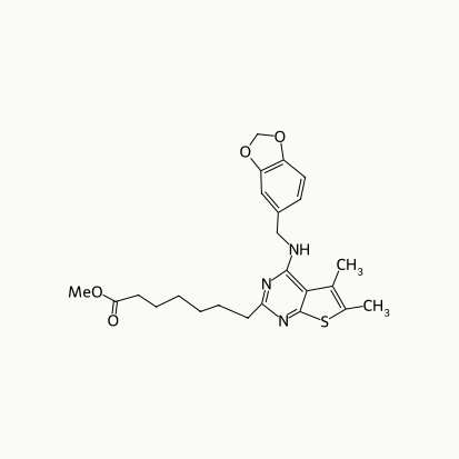 COC(=O)CCCCCCc1nc(NCc2ccc3c(c2)OCO3)c2c(C)c(C)sc2n1